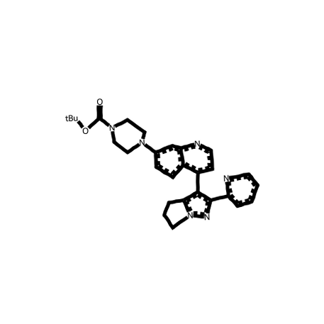 CC(C)(C)OC(=O)N1CCN(c2ccc3c(-c4c(-c5ccccn5)nn5c4CCC5)ccnc3c2)CC1